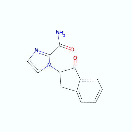 NC(=O)c1nccn1C1Cc2ccccc2C1=O